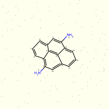 Nc1cc2cccc3c(N)cc4cccc1c4c23